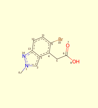 Cn1cc2c(CC(=O)O)c(Br)ccc2n1